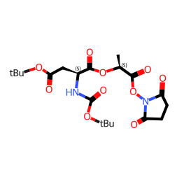 C[C@H](OC(=O)[C@H](CC(=O)OC(C)(C)C)NC(=O)OC(C)(C)C)C(=O)ON1C(=O)CCC1=O